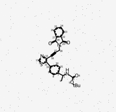 CC(NC(=O)OC(C)(C)C)c1ccc(-c2scnc2C#CCN2C(=O)c3ccccc3C2=O)cc1